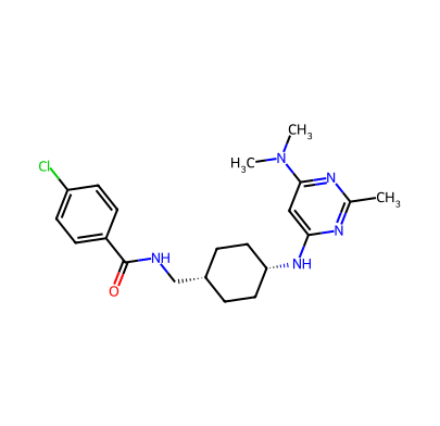 Cc1nc(N[C@H]2CC[C@@H](CNC(=O)c3ccc(Cl)cc3)CC2)cc(N(C)C)n1